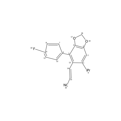 CC(C)c1cc2c(c(-c3ccc(F)cc3)c1C=CC#N)OCO2